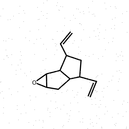 C=CC1CC(C=C)C2C1CC1OC12